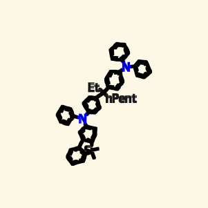 CCCCCC(CC)(c1ccc(N(c2ccccc2)c2ccccc2)cc1)c1ccc(N(c2ccccc2)c2ccc3c(c2)-c2ccccc2[Si]3(C)C)cc1